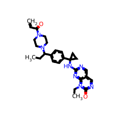 C=CC(=O)N1CCN(C(CC)c2ccc(C3(Nc4ncc5cnc(=O)n(CC)c5n4)CC3)cc2)CC1